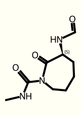 CNC(=O)N1CCCC[C@H](NC=O)C1=O